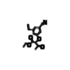 C=Cc1cc(C#N)cc(OC(C(C)=O)C(=O)OCC)c1